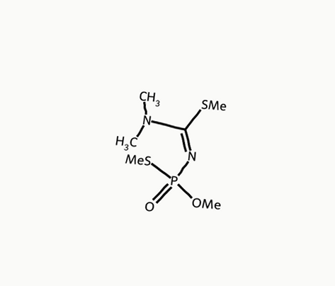 COP(=O)(N=C(SC)N(C)C)SC